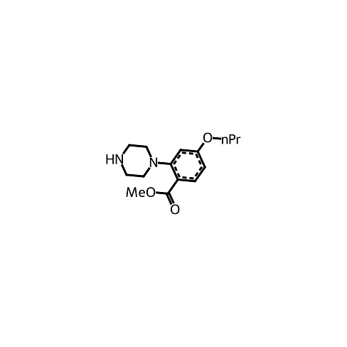 CCCOc1ccc(C(=O)OC)c(N2CCNCC2)c1